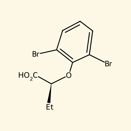 CC[C@H](Oc1c(Br)cccc1Br)C(=O)O